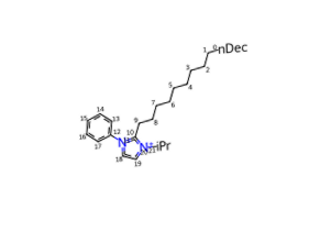 CCCCCCCCCCCCCCCCCCCc1n(-c2ccccc2)cc[n+]1C(C)C